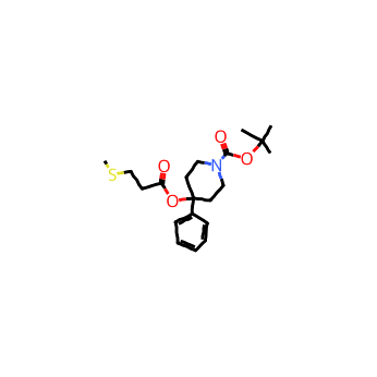 CSCCC(=O)OC1(c2ccccc2)CCN(C(=O)OC(C)(C)C)CC1